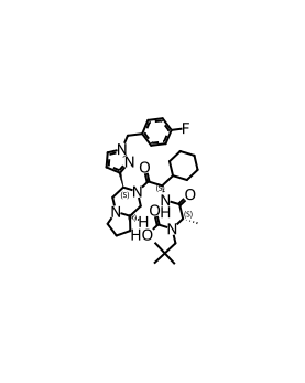 C[C@@H](C(=O)N[C@H](C(=O)N1C[C@H]2CCCN2C[C@H]1c1ccn(Cc2ccc(F)cc2)n1)C1CCCCC1)N(CC(C)(C)C)C(=O)O